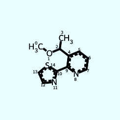 COC(C)c1cccnc1-c1nc[c]s1